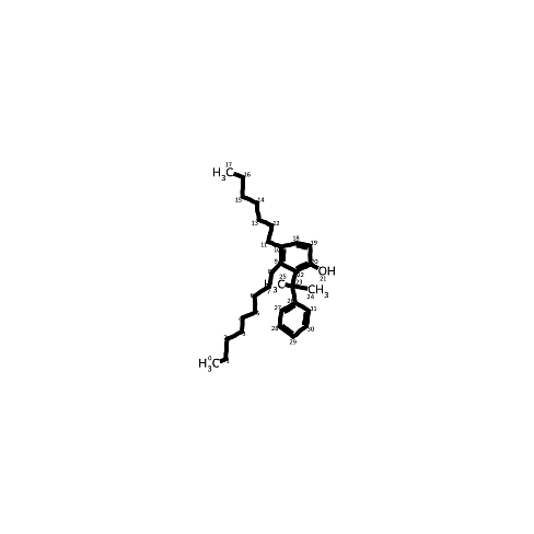 CCCCCCCCCc1c(CCCCCCC)ccc(O)c1C(C)(C)c1ccccc1